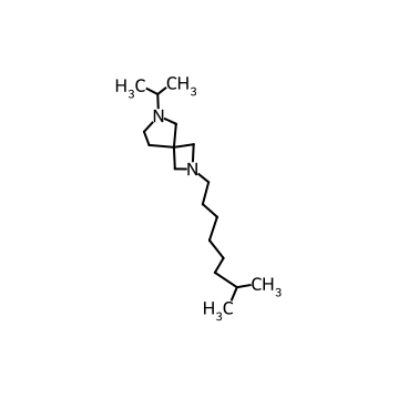 CC(C)CCCCCCN1CC2(CCN(C(C)C)C2)C1